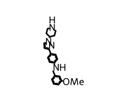 COc1cccc(CNc2ccc(-c3ccn(C4CCNCC4)n3)cc2)c1